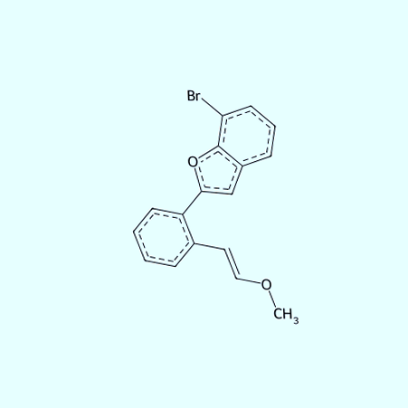 COC=Cc1ccccc1-c1cc2cccc(Br)c2o1